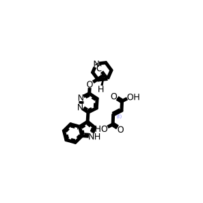 O=C(O)/C=C/C(=O)O.c1ccc2c(-c3ccc(O[C@@H]4CN5CCC4CC5)nn3)c[nH]c2c1